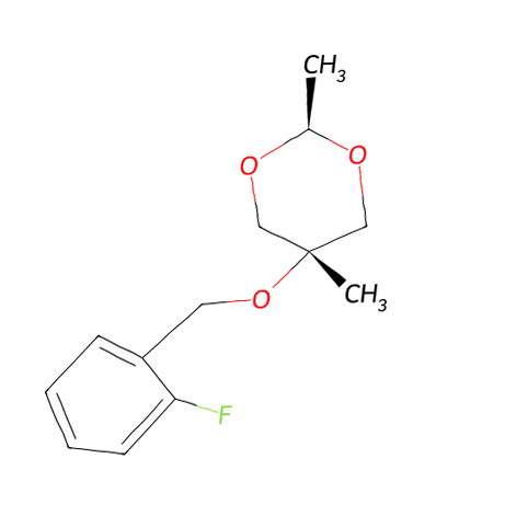 C[C@H]1OC[C@](C)(OCc2ccccc2F)CO1